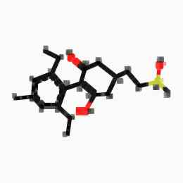 CCc1cc(C)cc(CC)c1C1=C(O)CC(CC[S+](C)[O-])CC1=O